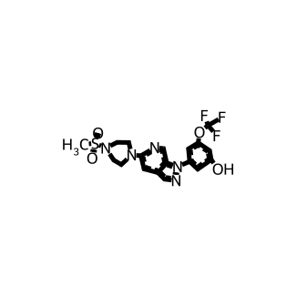 CS(=O)(=O)N1CCN(c2cc3cnn(-c4cc(O)cc(OC(F)(F)F)c4)c3cn2)CC1